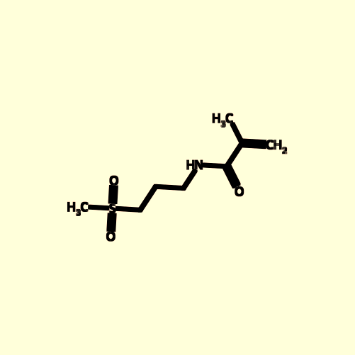 C=C(C)C(=O)NCCCS(C)(=O)=O